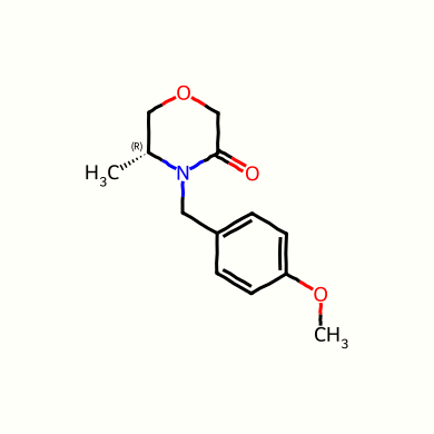 COc1ccc(CN2C(=O)COC[C@H]2C)cc1